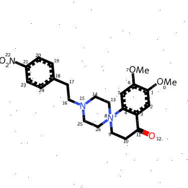 COc1cc2c(cc1OC)[N+]1(CCC2=O)CCN(CCc2ccc([N+](=O)[O-])cc2)CC1